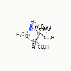 CC1=Cc2cc3[nH]c(cc4nc(cc5[nH]c(cc1n2)cc5C)C(C)=C4CCC(=O)O)c(CCC(=O)O)c3C.CS(=O)(=O)O.CS(=O)(=O)O